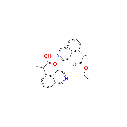 CC(C(=O)O)c1cccc2cnccc12.CCOC(=O)C(C)c1cccc2cnccc12